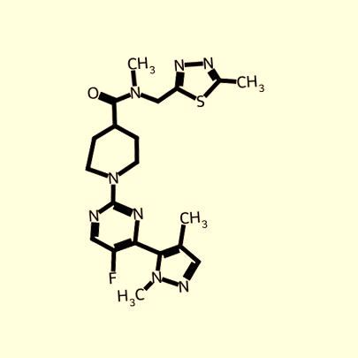 Cc1nnc(CN(C)C(=O)C2CCN(c3ncc(F)c(-c4c(C)cnn4C)n3)CC2)s1